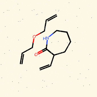 C=CC1CCCCNC1=O.C=CCOCC=C